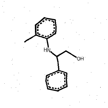 Cc1ccccc1NC(CO)c1ccccc1